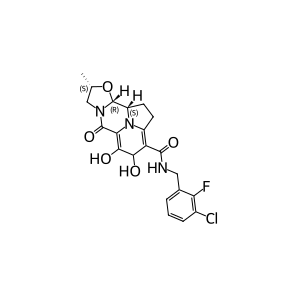 C[C@H]1CN2C(=O)C3=C(O)C(O)C(C(=O)NCc4cccc(Cl)c4F)=C4CC[C@@H]([C@H]2O1)N43